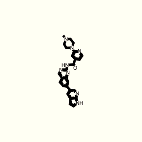 CN1CCN(c2cc(C(=O)Nc3ncc4ccc(-c5cnc6[nH]ccc6c5)cc4n3)ccn2)CC1